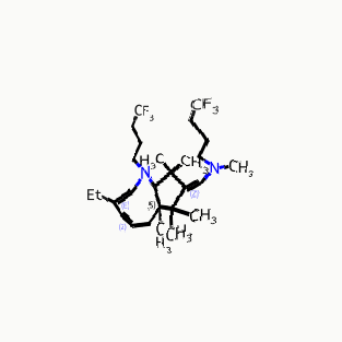 CCC1=C\N(CCCC(F)(F)F)C2C(C)(C)/C(=C\N(C)CCCC(F)(F)F)C(C)(C)[C@]2(C)C/C=C\1